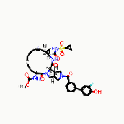 CC(C)(C)OC(=O)N[C@H]1CCCCC/C=C\[C@H]2C[C@@]2(C(=O)NS(=O)(=O)C2CC2)NC(=O)[C@@H]2[C@H]3CN(C(=O)c4cccc(-c5ccc(O)c(F)c5)c4)C[C@H]3CN2C1=O